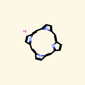 C1=Cc2cc3ccc(cc4nc(cc5ccc(cc1n2)[nH]5)C=C4)[nH]3.I